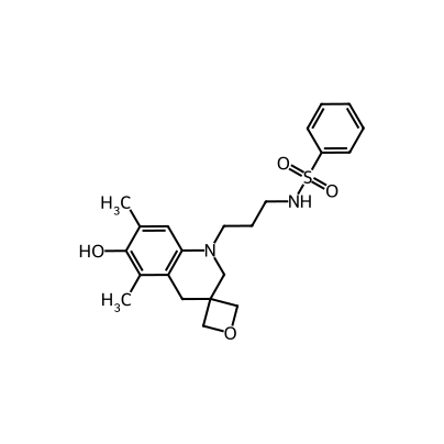 Cc1cc2c(c(C)c1O)CC1(COC1)CN2CCCNS(=O)(=O)c1ccccc1